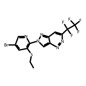 CCSc1cc(Br)cnc1-n1cc2nnc(C(F)(F)C(F)(F)F)cc2n1